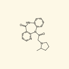 CC1CCCN1CC(=O)N1c2ccccc2NC(=O)c2cccnc21